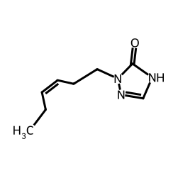 CC/C=C\CCn1nc[nH]c1=O